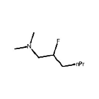 CCCCC(F)CN(C)C